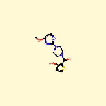 COc1ccnc(N2CCN(C(=O)c3sccc3OC)CC2)n1